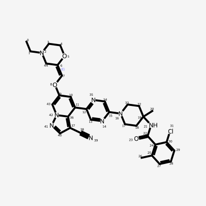 CCN1CCO/C(=C/Oc2cc(-c3cnc(N4CCC(C)(NC(=O)c5c(C)cccc5Cl)CC4)cn3)c3c(C#N)cnn3c2)C1